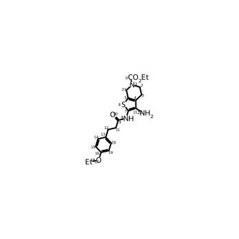 CCOC(=O)N1CCc2c(sc(NC(=O)CCc3ccc(OCC)cc3)c2N)C1